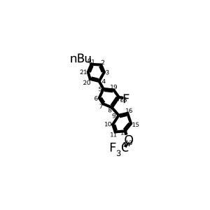 CCCCc1ccc(-c2ccc(-c3ccc(OC(F)(F)F)cc3)c(F)c2)cc1